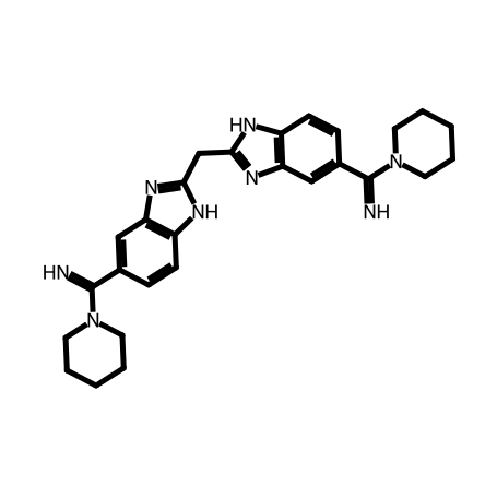 N=C(c1ccc2[nH]c(Cc3nc4cc(C(=N)N5CCCCC5)ccc4[nH]3)nc2c1)N1CCCCC1